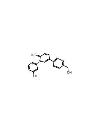 C=C1C=CC(c2ccc(CO)nc2)=CN1c1cccc(C)c1